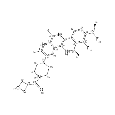 Cc1nc2c(C)nnc(N[C@H](C)c3cccc(C(F)F)c3F)c2cc1N1CCN(C(=O)C2COC2)CC1